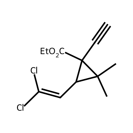 C#CC1(C(=O)OCC)C(C=C(Cl)Cl)C1(C)C